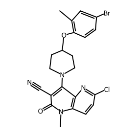 Cc1cc(Br)ccc1OC1CCN(c2c(C#N)c(=O)n(C)c3ccc(Cl)nc23)CC1